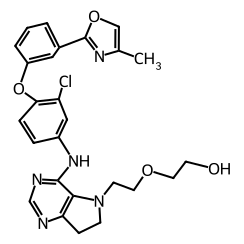 Cc1coc(-c2cccc(Oc3ccc(Nc4ncnc5c4N(CCOCCO)CC5)cc3Cl)c2)n1